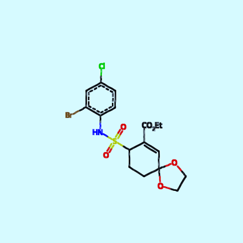 CCOC(=O)C1=CC2(CCC1S(=O)(=O)Nc1ccc(Cl)cc1Br)OCCO2